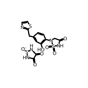 O=C1CN(c2ccc(Cc3nccs3)cc2O)S(=O)(=O)N1.O=c1[nH][s+]([O-])[nH]c1=O